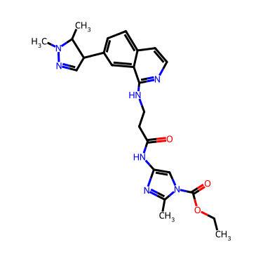 CCOC(=O)n1cc(NC(=O)CCNc2nccc3ccc(C4C=NN(C)C4C)cc23)nc1C